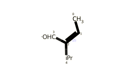 C/C=C(\[C]=O)C(C)C